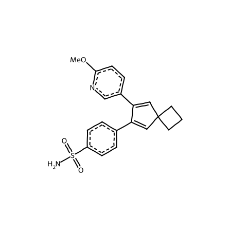 COc1ccc(C2=CC3(C=C2c2ccc(S(N)(=O)=O)cc2)CCC3)cn1